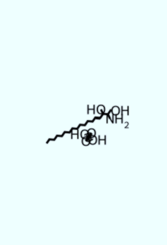 CCCCCCCCCCCCCC=CC(O)C(N)CO.O=S(=O)(O)O